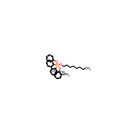 CCCCCCCCOP(Oc1ccccc1)(Oc1ccccc1C)(c1ccccc1C)c1ccccc1C